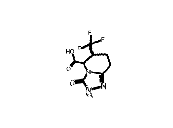 O=C(O)C1C(C(F)(F)F)CCc2n[nH]c(=O)n21